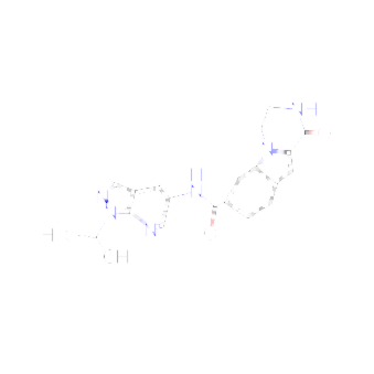 CC(C)n1ncc2cc(NC(=O)c3ccc4cc5n(c4c3)CCNC5=O)cnc21